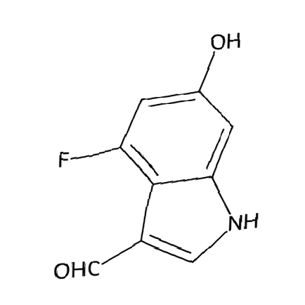 O=Cc1c[nH]c2cc(O)cc(F)c12